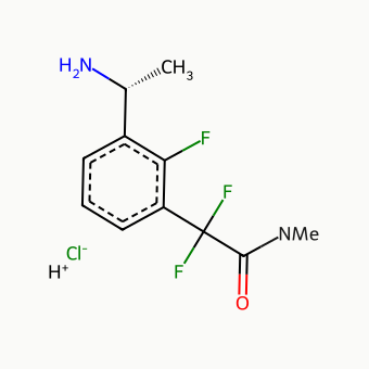 CNC(=O)C(F)(F)c1cccc([C@@H](C)N)c1F.[Cl-].[H+]